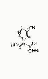 COC(=O)/C(=C/O)c1cncc(C#N)c1